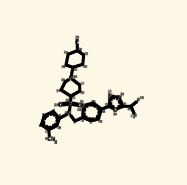 Cc1cccc(N(Cc2ccc(-c3nnc(C(F)F)o3)cn2)S(=O)(=O)C2CCN(C3CCC(F)CC3)CC2)c1